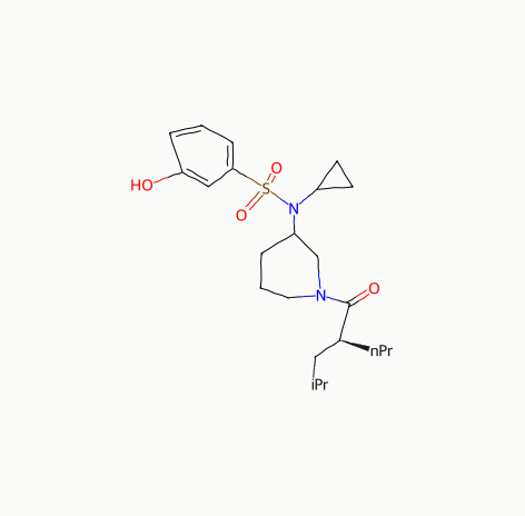 CCC[C@@H](CC(C)C)C(=O)N1CCCC(N(C2CC2)S(=O)(=O)c2cccc(O)c2)C1